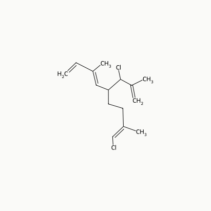 C=CC(C)=CC(CCC(C)=CCl)C(Cl)C(=C)C